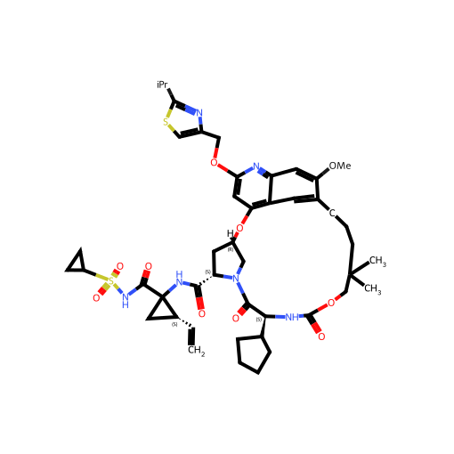 C=C[C@@H]1CC1(NC(=O)[C@@H]1C[C@@H]2CN1C(=O)[C@H](C1CCCC1)NC(=O)OCC(C)(C)CCCc1cc3c(cc(OCc4csc(C(C)C)n4)nc3cc1OC)O2)C(=O)NS(=O)(=O)C1CC1